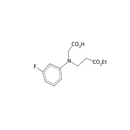 CCOC(=O)CCN(CC(=O)O)c1cccc(F)c1